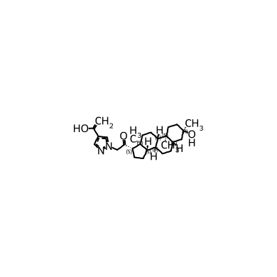 C=C(O)c1cnn(CC(=O)[C@H]2CC[C@H]3[C@@H]4CC[C@H]5C[C@](C)(O)CC[C@]5(C)[C@H]4CC[C@]23C)c1